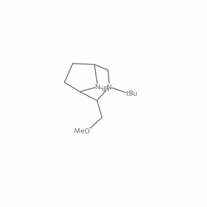 COCC1C2CCC(CN1C(C)(C)C)N2C(C)C